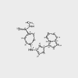 CNC(=O)c1ccc(Nc2nc(-c3cnc4ccccn34)cs2)cc1